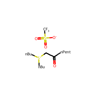 CCCCCC(=O)C[S+](CCCC)CCCC.O=S(=O)([O-])C(F)(F)F